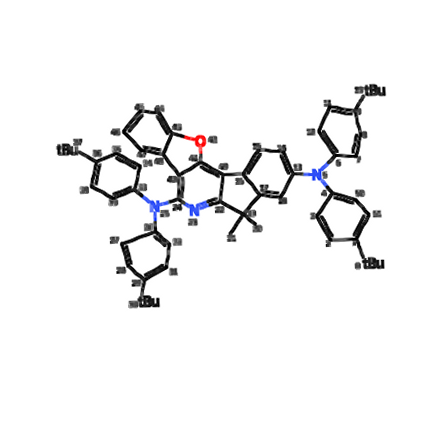 CC(C)(C)c1ccc(N(c2ccc(C(C)(C)C)cc2)c2ccc3c(c2)C(C)(C)c2nc(N(c4ccc(C(C)(C)C)cc4)c4ccc(C(C)(C)C)cc4)c4c(oc5ccccc54)c2-3)cc1